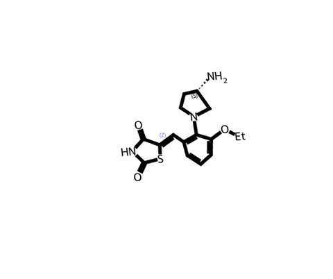 CCOc1cccc(/C=C2\SC(=O)NC2=O)c1N1CC[C@H](N)C1